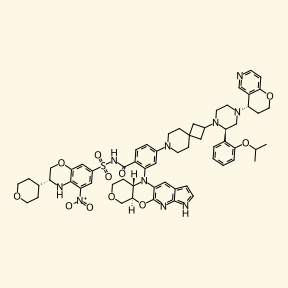 CC(C)Oc1ccccc1[C@@H]1CN([C@H]2CCOc3ccncc32)CCN1C1CC2(CCN(c3ccc(C(=O)NS(=O)(=O)c4cc5c(c([N+](=O)[O-])c4)N[C@H](C4CCOCC4)CO5)c(N4c5cc6cc[nH]c6nc5O[C@H]5COCC[C@@H]54)c3)CC2)C1